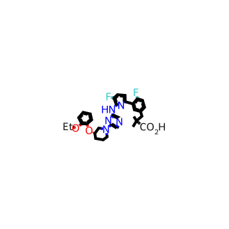 CCOc1ccccc1O[C@@H]1CCCN(c2cncc(Nc3nc(-c4cc(CC(C)(C)C(=O)O)ccc4F)ccc3F)n2)C1